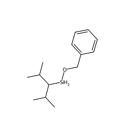 CC(C)C([SiH2]OCc1ccccc1)C(C)C